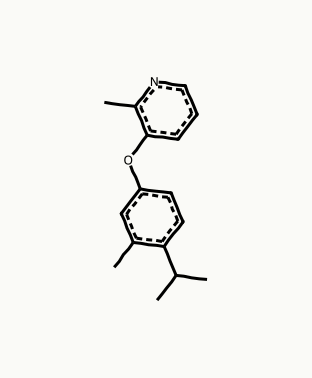 Cc1cc(Oc2cccnc2C)ccc1C(C)C